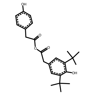 CC(C)(C)c1cc(CC(=O)OC(=O)Cc2ccc(O)cc2)cc(C(C)(C)C)c1O